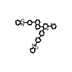 c1ccc(-c2ccc(-c3cccc4c(-c5ccc(-c6nc7ccccc7o6)cc5)cccc34)c(-c3ccc(-c4ccc(-c5nc6ccccc6o5)cc4)cc3)n2)nc1